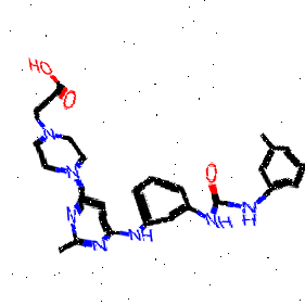 Cc1cccc(NC(=O)Nc2cccc(Nc3cc(N4CCN(CC(=O)O)CC4)nc(C)n3)c2)c1